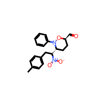 Cc1ccc(CC([C@H]2CC[C@H](C=O)ON2c2ccccc2)[N+](=O)[O-])cc1